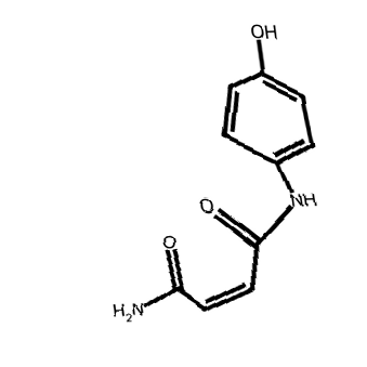 NC(=O)/C=C\C(=O)Nc1ccc(O)cc1